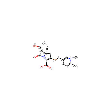 Cc1ccc(CSC2=C(C(=O)[O-])N3C(=O)[C@H]([C@@H](C)O)[C@H]3C2)c[n+]1C